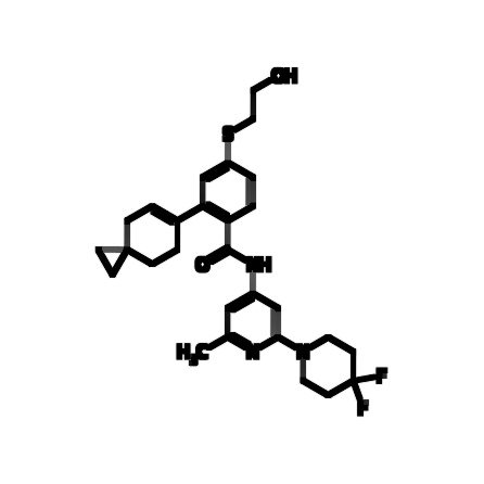 Cc1cc(NC(=O)c2ccc(SCCO)cc2C2=CCC3(CC2)CC3)cc(N2CCC(F)(F)CC2)n1